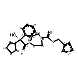 N=C(NCc1ccsc1)N1CCN(C(=O)[C@](O)(c2ccccc2)C2CCCC2)CC1